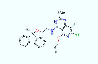 C=CCOc1nc(Cl)c(F)c2nc(SC)nc(NCCO[Si](c3ccccc3)(c3ccccc3)C(C)(C)C)c12